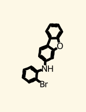 Brc1ccccc1Nc1ccc2c(c1)oc1ccccc12